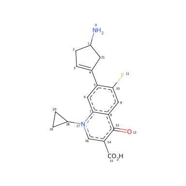 NC1CC=C(c2cc3c(cc2F)c(=O)c(C(=O)O)cn3C2CC2)C1